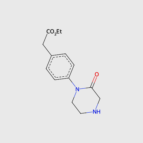 CCOC(=O)Cc1ccc(N2CCNCC2=O)cc1